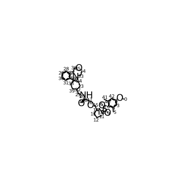 COc1cc(C)c(S(=O)(=O)N2CCCC2COCC(=O)NCC2CCC(c3ccccc3)(N3CCOCC3)CC2)c(C)c1